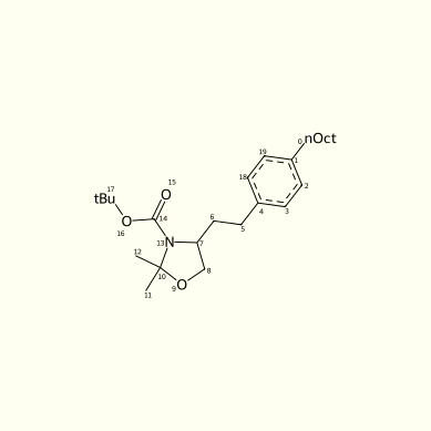 CCCCCCCCc1ccc(CCC2COC(C)(C)N2C(=O)OC(C)(C)C)cc1